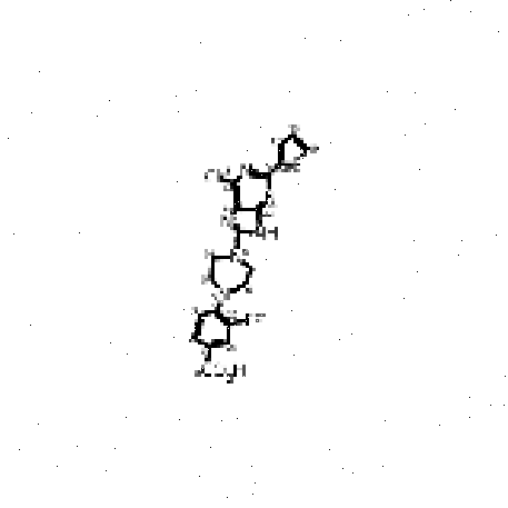 O=C(O)c1ccc(N2CCN(c3nc4c(Cl)nc(-c5cccs5)nc4[nH]3)CC2)c(F)c1